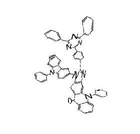 O=c1c2ccccc2n(-c2ccccc2)c2cc3nc(-c4ccc(-c5nc(-c6ccccc6)nc(-c6ccccc6)n5)cc4)n(-c4ccc5c(c4)c4ccccc4n5-c4ccccc4)c3cc12